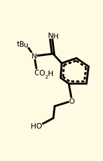 CC(C)(C)N(C(=N)c1cccc(OCCO)c1)C(=O)O